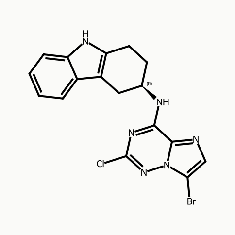 Clc1nc(N[C@@H]2CCc3[nH]c4ccccc4c3C2)c2ncc(Br)n2n1